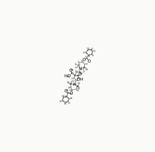 CC1(C)CC(OC(=O)c2ccccc2)CC(C)(C)N1CCC(CCN1C(C)(C)CC(OC(=O)c2ccccc2)CC1(C)C)(C(=O)O)C(=O)O